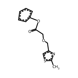 Cc1nc(COCC(=O)Oc2ccccc2)cs1